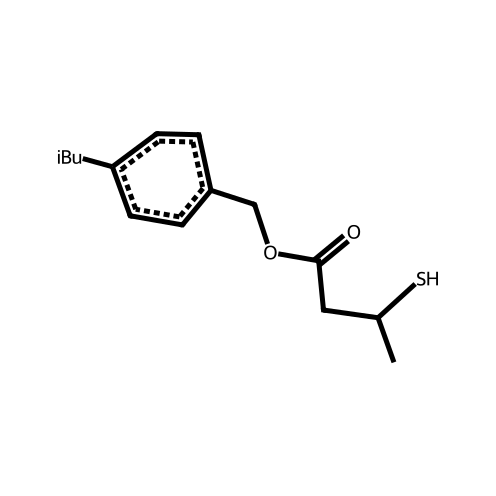 CCC(C)c1ccc(COC(=O)CC(C)S)cc1